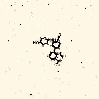 N#Cc1ccc(-c2cccc3c(Cl)ncnc23)cc1NC1CCC(O)CC1